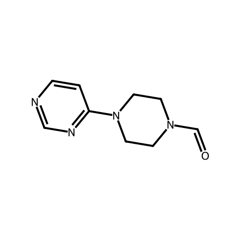 O=CN1CCN(c2ccncn2)CC1